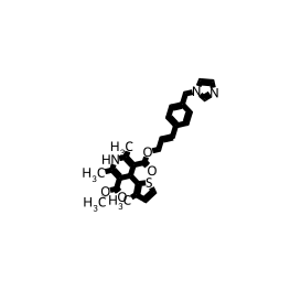 COC(=O)C1=C(C)NC(C)=C(C(=O)OCC=Cc2ccc(Cn3ccnc3)cc2)C1c1sccc1C